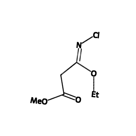 CCO/C(CC(=O)OC)=N\Cl